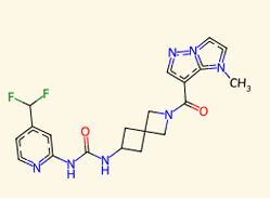 Cn1ccn2ncc(C(=O)N3CC4(CC(NC(=O)Nc5cc(C(F)F)ccn5)C4)C3)c12